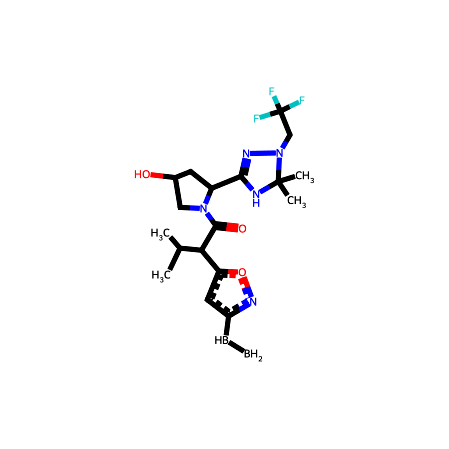 BBc1cc(C(C(=O)N2CC(O)CC2C2=NN(CC(F)(F)F)C(C)(C)N2)C(C)C)on1